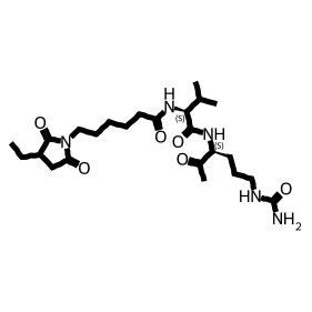 CCC1CC(=O)N(CCCCCC(=O)N[C@H](C(=O)N[C@@H](CCCNC(N)=O)C(C)=O)C(C)C)C1=O